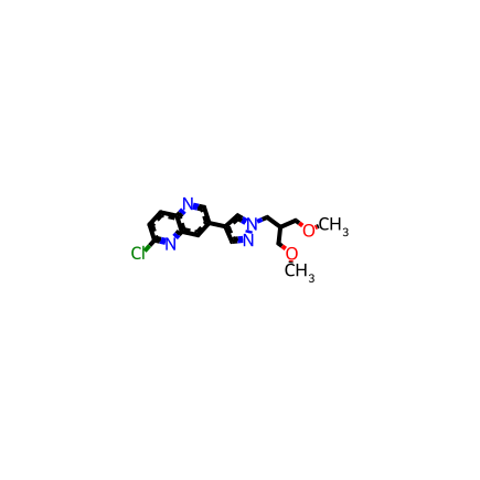 COCC(COC)Cn1cc(-c2cnc3ccc(Cl)nc3c2)cn1